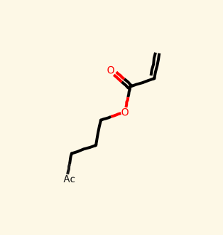 C=CC(=O)OCCCC(C)=O